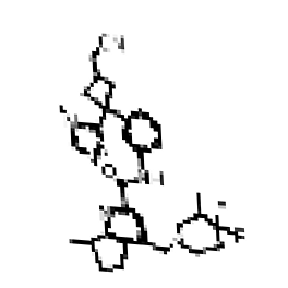 CC1CCc2c(CN3CCC(F)(F)[C@H](C)C3)cc(C(=O)Nc3cccc(C4(c5nncn5C)CC(CC#N)C4)c3)nc21